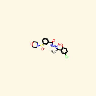 C/C(=N\NC(=O)c1cccc([S+]([O-])N2CCOCC2)c1)c1cc(Cl)ccc1O